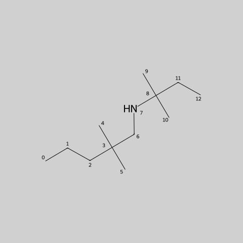 CCCC(C)(C)CNC(C)(C)CC